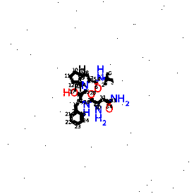 CC(C)(C)NC(=O)[C@@H]1C[C@@H]2CCC[C@@H]2N1C[C@@H](O)[C@H](Cc1ccccc1)NC(=O)[C@@H](N)CC(N)=O